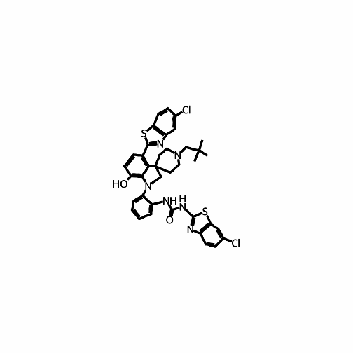 CC(C)(C)CN1CCC2(CC1)CN(c1ccccc1NC(=O)Nc1nc3ccc(Cl)cc3s1)c1c(O)ccc(-c3nc4cc(Cl)ccc4s3)c12